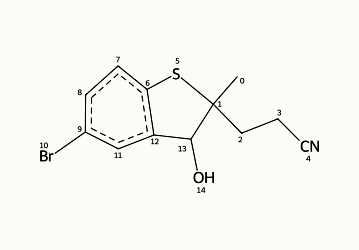 CC1(CCC#N)Sc2ccc(Br)cc2C1O